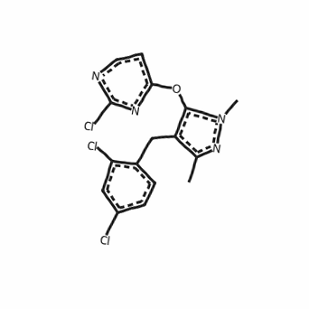 Cc1nn(C)c(Oc2ccnc(Cl)n2)c1Cc1ccc(Cl)cc1Cl